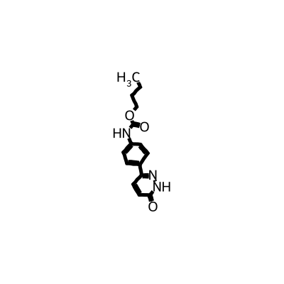 CCCCOC(=O)Nc1ccc(-c2ccc(=O)[nH]n2)cc1